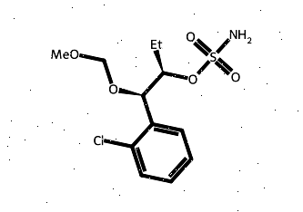 CC[C@@H](OS(N)(=O)=O)[C@H](OCOC)c1ccccc1Cl